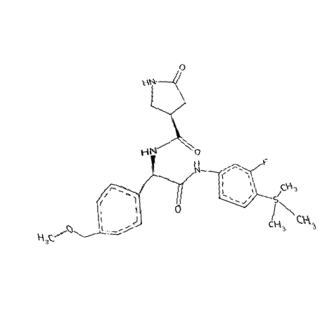 COCc1ccc([C@@H](NC(=O)[C@H]2CNC(=O)C2)C(=O)Nc2ccc(S(C)(C)C)c(F)c2)cc1